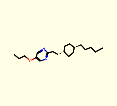 CCCCC[C@H]1CC[C@H](CCc2ncc(OCCC)cn2)CC1